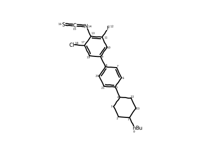 CCCCC1CCC(c2ccc(-c3cc(F)c(N=C=S)c(Cl)c3)cc2)CC1